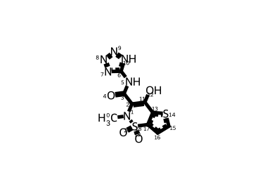 CN1C(C(=O)Nc2nnn[nH]2)=C(O)c2sccc2S1(=O)=O